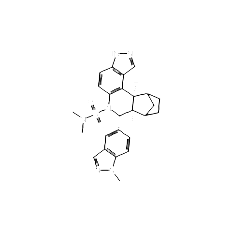 CN(C)S(=O)(=O)N1c2ccc3[nH]ncc3c2[C@H]2C3CCC(C3)[C@H]2[C@@H]1c1ccc2c(cnn2C)c1